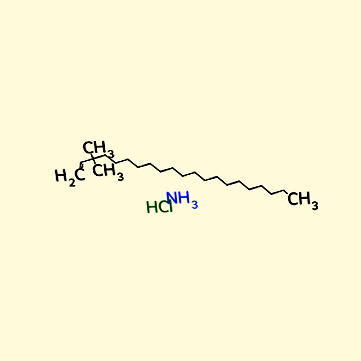 C=CC(C)(C)CCCCCCCCCCCCCCCCCC.Cl.N